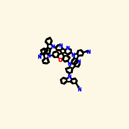 N#Cc1ccc2c(c1)c1ccccc1n2-c1cnc2c(c1)C1(c3ccc(-n4c5ccccc5c5ccccc54)cc3Oc3cc(-n4c5ccc(-n6c7ccccc7c7cc(C#N)ccc76)cc5c5ccncc54)ccc31)c1cc(-n3c4ccccc4c4cc(C#N)ccc43)cnc1-2